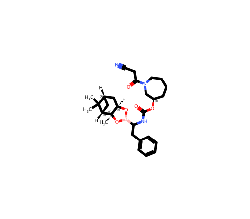 CC1(C)[C@@H]2C[C@H]3OB(C(Cc4ccccc4)NC(=O)O[C@@H]4CCCCN(C(=O)CC#N)C4)O[C@@]3(C)[C@H]1C2